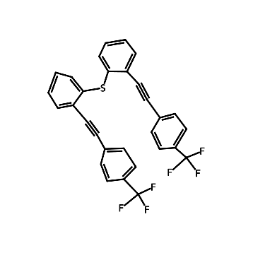 FC(F)(F)c1ccc(C#Cc2ccccc2Sc2ccccc2C#Cc2ccc(C(F)(F)F)cc2)cc1